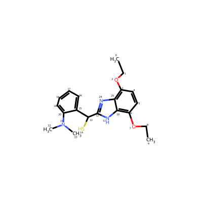 CCOc1ccc(OCC)c2[nH]c(C(S)c3ccccc3N(C)C)nc12